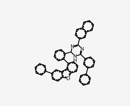 c1ccc(-c2cccc(C3=NC(c4ccc5ccccc5c4)=NC(c4ccccc4-c4cccc5oc6ccc(-c7ccccc7)cc6c45)N3)c2)cc1